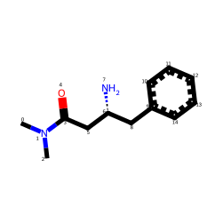 CN(C)C(=O)C[C@H](N)Cc1ccccc1